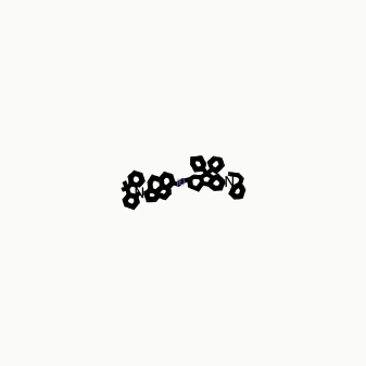 CC1(C)c2ccccc2N(c2ccc3ccc4c(/C=C/C5=CC=C6c7ccc(N8CCCc9ccccc98)cc7C(C7=C=C=CC=C7)(c7ccccc7)C6C5)ccc5ccc2c3c54)c2ccccc21